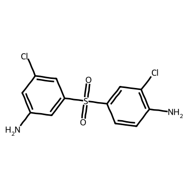 Nc1cc(Cl)cc(S(=O)(=O)c2ccc(N)c(Cl)c2)c1